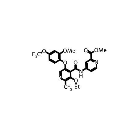 CCOc1c(C(F)(F)F)ncc(Oc2ccc(OC(F)(F)F)cc2OC)c1C(=O)Nc1ccnc(C(=O)OC)c1